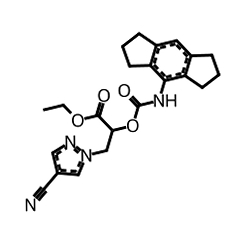 CCOC(=O)C(Cn1cc(C#N)cn1)OC(=O)Nc1c2c(cc3c1CCC3)CCC2